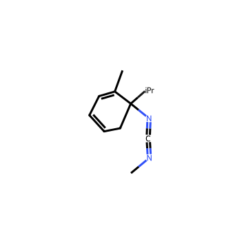 CN=C=NC1(C(C)C)CC=CC=C1C